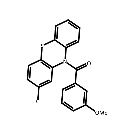 COc1cccc(C(=O)N2c3ccccc3Sc3ccc(Cl)cc32)c1